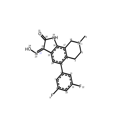 CN1CCc2c(-c3cc(F)cc(F)c3)cc3c(c2C1)NC(=O)/C3=N\O